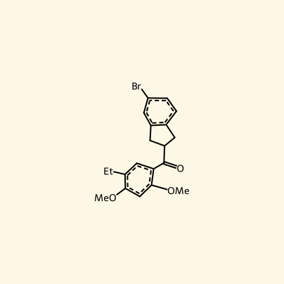 CCc1cc(C(=O)C2Cc3ccc(Br)cc3C2)c(OC)cc1OC